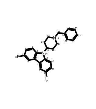 Fc1ccc2c(c1)c1cc(F)ccc1n2C1CCN(Cc2ccccc2)CC1